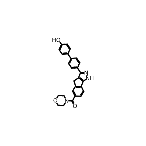 O=C(c1ccc2c(c1)Cc1c(-c3ccc(-c4ccc(O)cc4)cc3)n[nH]c1-2)N1CCOCC1